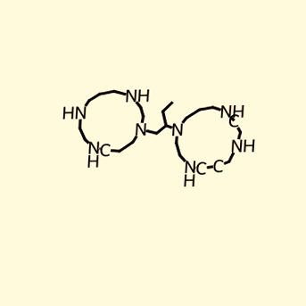 CCC(CN1CCCNCCNCCCNCC1)N1CCCNCCNCCCNCC1